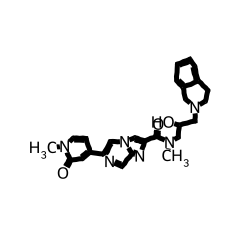 CN(CC(O)CN1CCc2ccccc2C1)C(=O)c1cn2cc(-c3ccn(C)c(=O)c3)ncc2n1